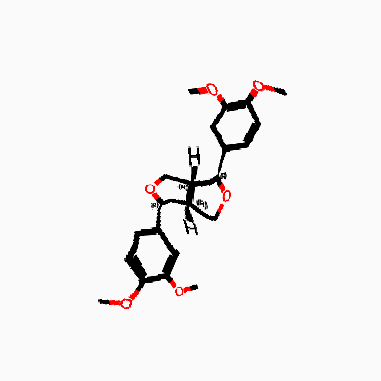 COC1=CCC([C@H]2OC[C@H]3[C@@H]2CO[C@@H]3C2C=CC(OC)=C(OC)C2)C=C1OC